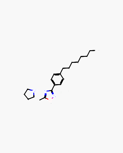 CCCCCCCCc1ccc(-c2noc(C[C@@H]3CCCN3)n2)cc1.Cl